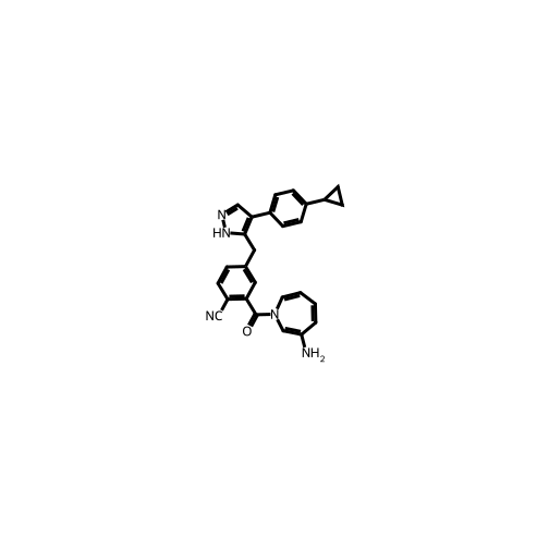 N#Cc1ccc(Cc2[nH]ncc2-c2ccc(C3CC3)cc2)cc1C(=O)N1C=CC=CC(N)=C1